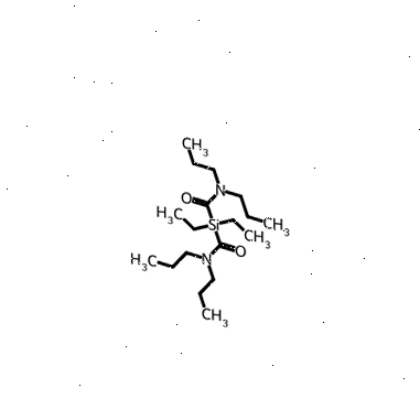 CCCN(CCC)C(=O)[Si](CC)(CC)C(=O)N(CCC)CCC